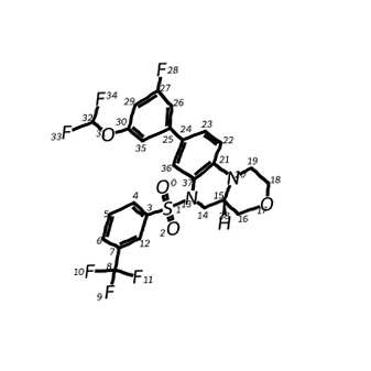 O=S(=O)(c1cccc(C(F)(F)F)c1)N1C[C@H]2COCCN2c2ccc(-c3cc(F)cc(OC(F)F)c3)cc21